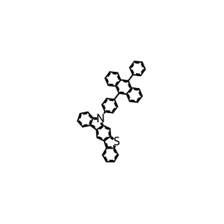 c1ccc(-c2c3ccccc3c(-c3ccc(-n4c5ccccc5c5cc6c(cc54)sc4ccccc46)cc3)c3ccccc23)cc1